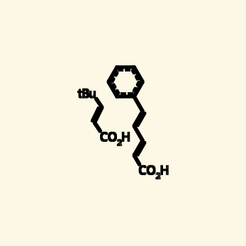 CC(C)(C)C=CC(=O)O.O=C(O)C=CC=Cc1ccccc1